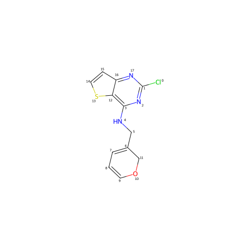 Clc1nc(NCC2=CC=COC2)c2sccc2n1